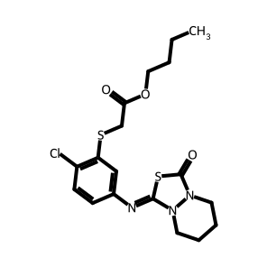 CCCCOC(=O)CSc1cc(N=c2sc(=O)n3n2CCCC3)ccc1Cl